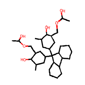 CC(O)OCC1CC(C2(C3CC(C)C(O)C(COC(C)O)C3)C3CCCCC3C3CCCCC32)CC(C)C1O